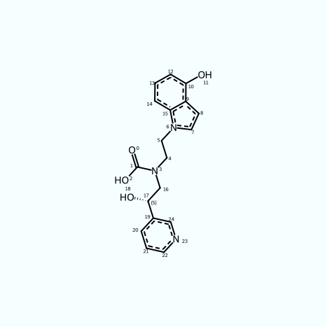 O=C(O)N(CCn1ccc2c(O)cccc21)C[C@@H](O)c1cccnc1